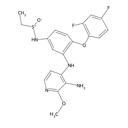 CC[S+]([O-])Nc1ccc(Oc2ccc(F)cc2F)c(Nc2ccnc(OC)c2N)c1